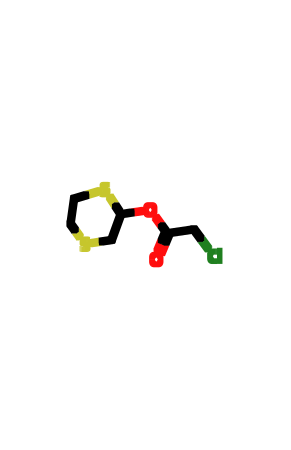 O=C(CCl)OC1CSCCS1